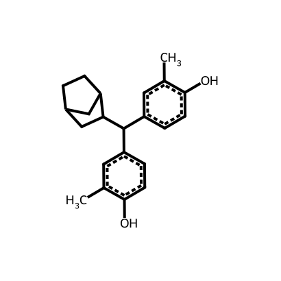 Cc1cc(C(c2ccc(O)c(C)c2)C2CC3CCC2C3)ccc1O